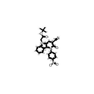 CC(C)(C)OC(=O)Cn1c2ccccc2c2c1cc(C#N)c(=O)n2-c1ccc([N+](=O)[O-])cc1